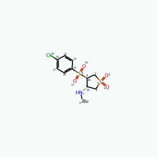 CCC(C)N[C@H]1CS(=O)(=O)C[C@@H]1S(=O)(=O)c1ccc(Cl)cc1